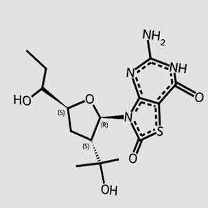 CCC(O)[C@@H]1C[C@@H](C(C)(C)O)[C@H](n2c(=O)sc3c(=O)[nH]c(N)nc32)O1